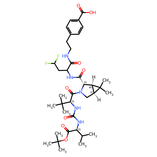 CC(C)[C@H](NC(=O)N[C@H](C(=O)N1C[C@H]2[C@@H]([C@H]1C(=O)NC(CC(F)F)C(=O)NCCc1ccc(C(=O)O)cc1)C2(C)C)C(C)(C)C)C(=O)OC(C)(C)C